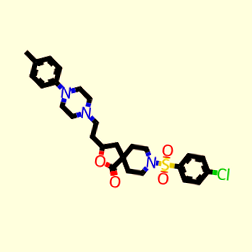 Cc1ccc(N2CCN(CCC3CC4(CCN(S(=O)(=O)c5ccc(Cl)cc5)CC4)C(=O)O3)CC2)cc1